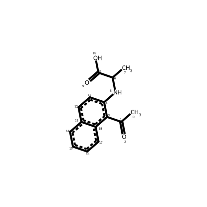 CC(=O)c1c(NC(C)C(=O)O)ccc2ccccc12